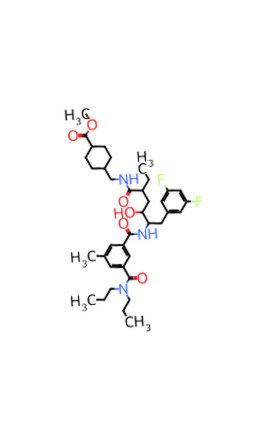 CCCN(CCC)C(=O)c1cc(C)cc(C(=O)NC(Cc2cc(F)cc(F)c2)C(O)CC(CC)C(=O)NCC2CCC(C(=O)OC)CC2)c1